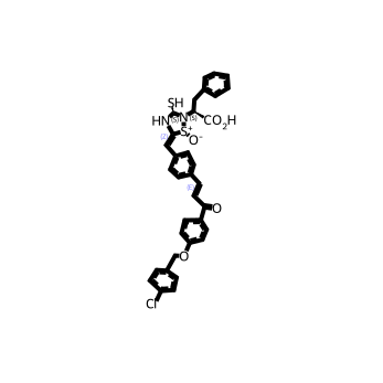 O=C(/C=C/c1ccc(/C=C2/N[C@H](S)N([C@@H](Cc3ccccc3)C(=O)O)[S+]2[O-])cc1)c1ccc(OCc2ccc(Cl)cc2)cc1